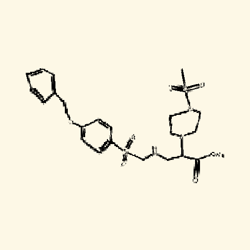 COC(=O)C(CNCS(=O)(=O)c1ccc(OCc2ccccc2)cc1)N1CCN(S(C)(=O)=O)CC1